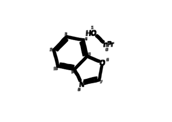 CCCO.c1ccc2ocnc2c1